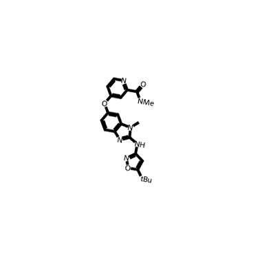 CNC(=O)c1cc(Oc2ccc3nc(Nc4cc(C(C)(C)C)on4)n(C)c3c2)ccn1